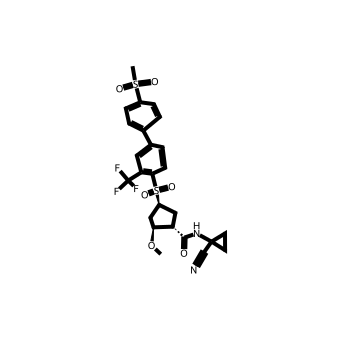 CO[C@H]1C[C@@H](S(=O)(=O)c2ccc(-c3ccc(S(C)(=O)=O)cc3)cc2C(F)(F)F)C[C@@H]1C(=O)NC1(C#N)CC1